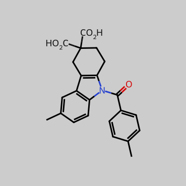 Cc1ccc(C(=O)n2c3c(c4cc(C)ccc42)CC(C(=O)O)(C(=O)O)CC3)cc1